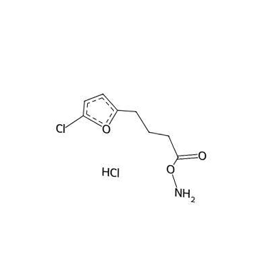 Cl.NOC(=O)CCCc1ccc(Cl)o1